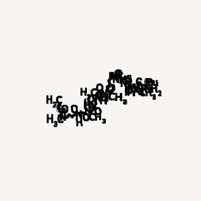 C=C/C=C\C(=O)N(C)CCCC(=O)NCC(=O)NC(C)C(=O)NCC(=O)NC(C)C(=O)Nc1cc(CC(CCC)NC(=O)c2csc(C(CC(C(C)C)N(C)C(=C)[C@@H](N)[C@@H](C)CC)OC(C)=O)n2)ccc1C